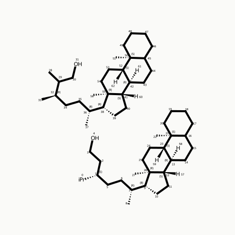 CC(C)[C@H](CCO)CC[C@@H](C)[C@H]1CC[C@H]2[C@@H]3CCC4CCCC[C@]4(C)[C@H]3CC[C@]12C.CC(CO)[C@H](C)CC[C@@H](C)[C@H]1CC[C@H]2[C@@H]3CCC4CCCC[C@]4(C)[C@H]3CC[C@]12C